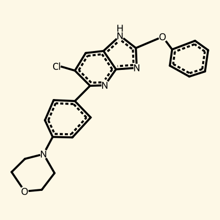 Clc1cc2[nH]c(Oc3ccccc3)nc2nc1-c1ccc(N2CCOCC2)cc1